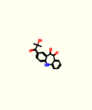 CC(C)(O)C(=O)c1ccc2[nH]c3ccccc3c(=O)c(=O)c2c1